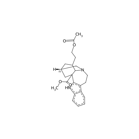 COC(=O)C12C[C@@H]3CC(CCOC(C)=O)C1N(CCc1c2[nH]c2ccccc12)C3